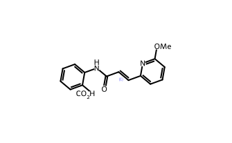 COc1cccc(/C=C/C(=O)Nc2ccccc2C(=O)O)n1